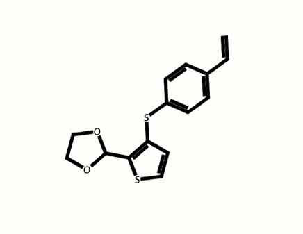 C=Cc1ccc(Sc2ccsc2C2OCCO2)cc1